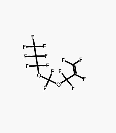 FC(F)=C(F)C(F)(F)OC(F)(F)OC(F)(F)C(F)(F)C(F)(F)F